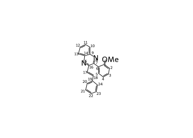 COc1ccccc1-c1nc2ccccc2nc1/C=C/c1ccccc1